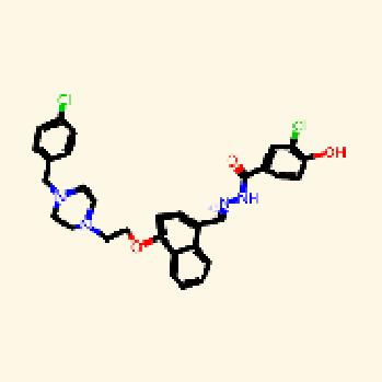 O=C(N/N=C/c1ccc(OCCN2CCN(Cc3ccc(Cl)cc3)CC2)c2ccccc12)c1ccc(O)c(Cl)c1